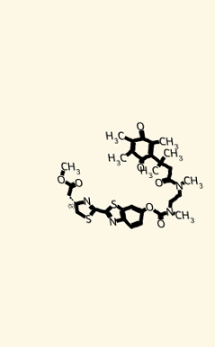 COC(=O)C[C@H]1CSC(c2nc3ccc(OC(=O)N(C)CCN(C)C(=O)CC(C)(C)C4=C(C)C(=O)C(C)=C(C)C4=O)cc3s2)=N1